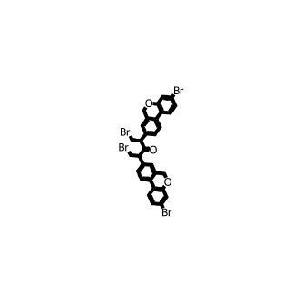 O=C(C(CBr)c1ccc2c(c1)COc1cc(Br)ccc1-2)C(CBr)c1ccc2c(c1)COc1cc(Br)ccc1-2